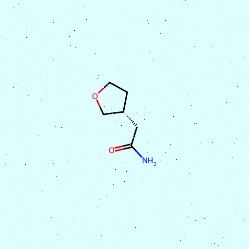 NC(=O)C[C@H]1CCOC1